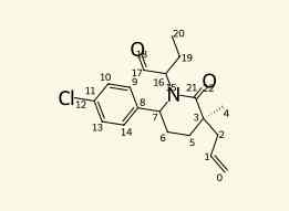 C=CC[C@@]1(C)CCC(c2ccc(Cl)cc2)N(C(C=O)CC)C1=O